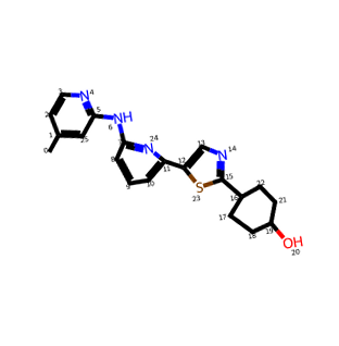 Cc1ccnc(Nc2cccc(-c3cnc(C4CCC(O)CC4)s3)n2)c1